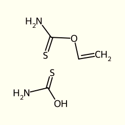 C=COC(N)=S.NC(O)=S